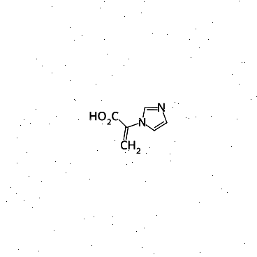 C=C(C(=O)O)n1ccnc1